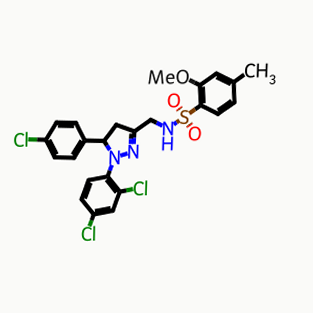 COc1cc(C)ccc1S(=O)(=O)NCC1=NN(c2ccc(Cl)cc2Cl)C(c2ccc(Cl)cc2)C1